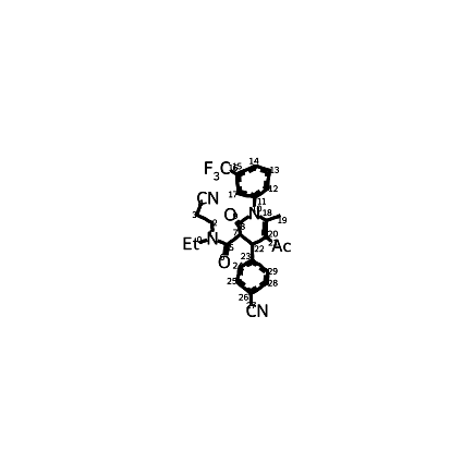 CCN(CCC#N)C(=O)C1C(=O)N(c2cccc(C(F)(F)F)c2)C(C)=C(C(C)=O)C1c1ccc(C#N)cc1